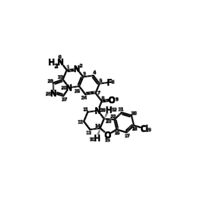 Nc1nc2cc(F)c(C(=O)N3CCC[C@@H]4Oc5cc(Cl)ccc5[C@@H]43)cc2n2cncc12